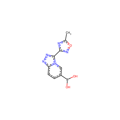 Cc1nc(-c2nnc3ccc(B(O)O)cn23)no1